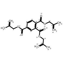 C=C(C)COC(=O)c1ccc(C(=O)OCC(=C)C)c(C(=O)OCC(=C)C)c1